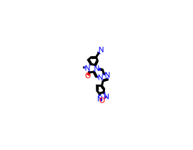 CN(C(=O)c1cn2c(-c3ccc4nonc4c3)cnc2cn1)c1ccc(C#N)cc1